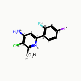 Nc1cc(-c2ccc(I)cc2F)nc(C(=O)O)c1Cl